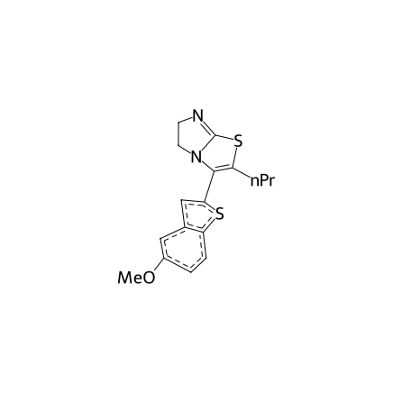 CCCC1=C(c2cc3cc(OC)ccc3s2)N2CCN=C2S1